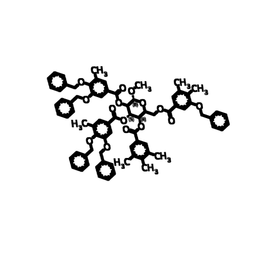 CO[C@@H]1OC(COC(=O)c2cc(C)c(C)c(OCc3ccccc3)c2)[C@@H](OC(=O)c2cc(C)c(C)c(C)c2)[C@H](OC(=O)c2cc(C)c(OCc3ccccc3)c(OCc3ccccc3)c2)C1OC(=O)c1cc(C)c(OCc2ccccc2)c(OCc2ccccc2)c1